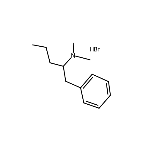 Br.CCCC(Cc1ccccc1)N(C)C